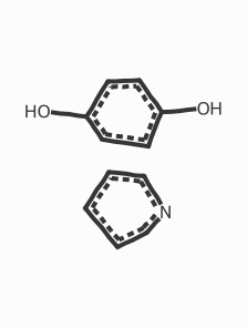 Oc1ccc(O)cc1.c1ccncc1